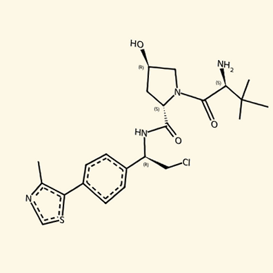 Cc1ncsc1-c1ccc([C@H](CCl)NC(=O)[C@@H]2C[C@@H](O)CN2C(=O)[C@@H](N)C(C)(C)C)cc1